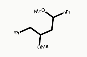 CCCC(CC(CC(C)C)OC)OC